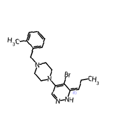 CC/C=C1/NN=CC(N2CCN(Cc3ccccc3C)CC2)=C1Br